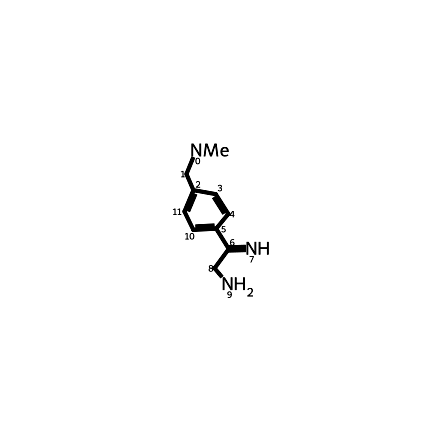 CNCc1ccc(C(=N)CN)cc1